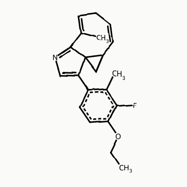 CCOc1ccc(C2=CN=C3/C(C)=C/C/C=C\C4CC234)c(C)c1F